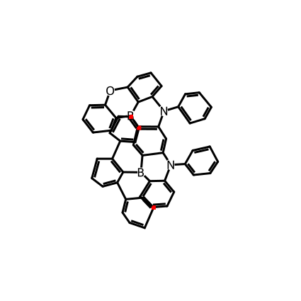 c1ccc(-c2cccc(-c3ccccc3)c2B2c3ccccc3N(c3ccccc3)c3cc4c(cc32)B2c3ccccc3Oc3cccc(c32)N4c2ccccc2)cc1